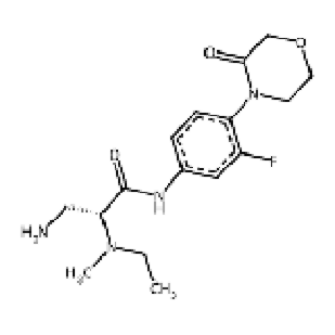 CCN(C)[C@H](CN)C(=O)Nc1ccc(N2CCOCC2=O)c(F)c1